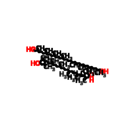 CC(/C=C/C=C(C)/C=C/C=C(\C)CC/C=C(\C)CO)=C\C=C\C=C(C)\C=C\C=C(C)\C=C\C=C(/C)CC/C=C(\C)CO.CC1=C[C@H](O)CC(C)(C)[C@H]1/C=C/C(C)=C/C=C/C(C)=C/C=C/C=C(C)/C=C/C=C(C)/C=C/C1=C(C)C[C@@H](O)CC1(C)C